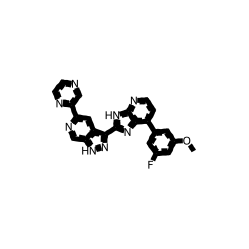 COc1cc(F)cc(-c2ccnc3[nH]c(-c4n[nH]c5cnc(-c6cnccn6)cc45)nc23)c1